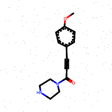 COc1ccc(C#CC(=O)N2CCNCC2)cc1